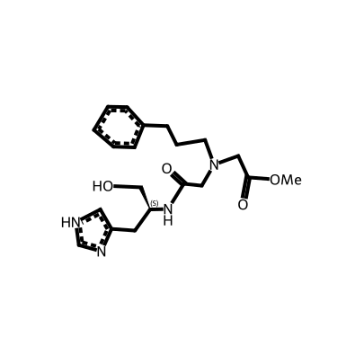 COC(=O)CN(CCCc1ccccc1)CC(=O)N[C@H](CO)Cc1c[nH]cn1